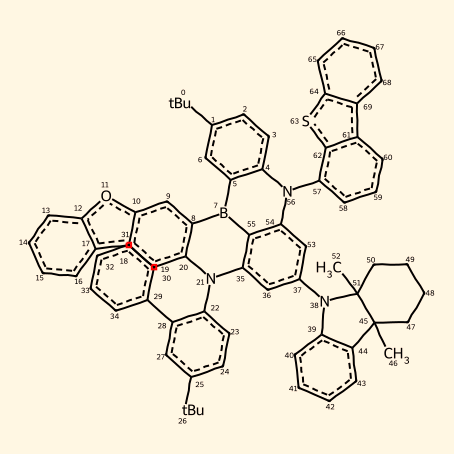 CC(C)(C)c1ccc2c(c1)B1c3cc4oc5ccccc5c4cc3N(c3ccc(C(C)(C)C)cc3-c3ccccc3)c3cc(N4c5ccccc5C5(C)CCCCC45C)cc(c31)N2c1cccc2c1sc1ccccc12